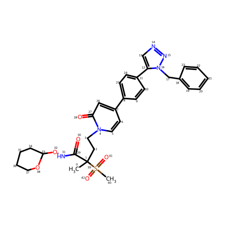 CC(CCn1ccc(-c2ccc(-c3cnnn3Cc3ccccc3)cc2)cc1=O)(C(=O)NOC1CCCCO1)S(C)(=O)=O